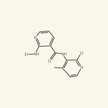 CCNc1ncccc1C(=O)Nc1c(C)ccnc1Cl